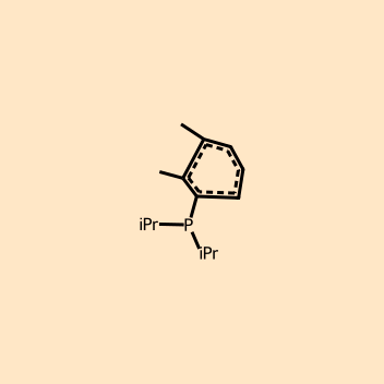 Cc1cccc(P(C(C)C)C(C)C)c1C